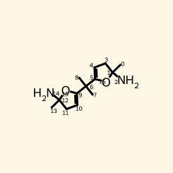 CC1(N)CC=C(C(C)(C)C2=CCC(C)(N)O2)O1